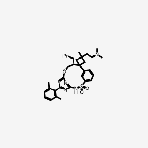 Cc1cccc(C)c1-c1cc2nc(n1)NS(=O)(=O)c1cccc(c1)C1(CC(C)(CCN(C)C)C1)[C@H](CC(C)C)CO2